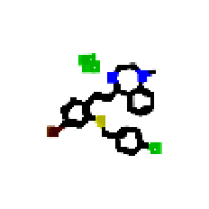 CN1CCN=C(C=Cc2ccc(Br)cc2SCc2ccc(Cl)cc2)c2ccccc21.Cl.Cl